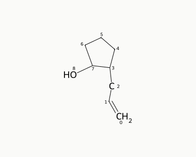 C=CCC1CCCC1O